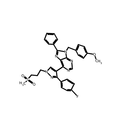 COc1ccc(Cn2c(-c3ccccc3)nc3c(-c4cn(CCCS(C)(=O)=O)nc4-c4ccc(F)cc4)ncnc32)cc1